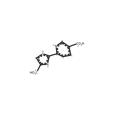 O=C(O)c1ccc(-c2nc(C(=O)O)cs2)nc1